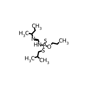 CCCOP(=S)(NC=NC(C)CC)SCC(C)C